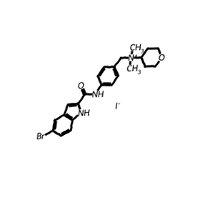 C[N+](C)(Cc1ccc(NC(=O)c2cc3cc(Br)ccc3[nH]2)cc1)C1CCOCC1.[I-]